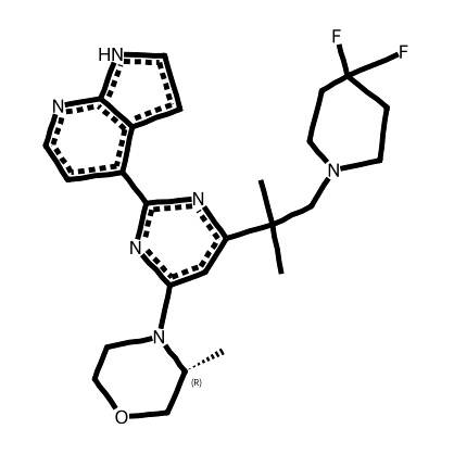 C[C@@H]1COCCN1c1cc(C(C)(C)CN2CCC(F)(F)CC2)nc(-c2ccnc3[nH]ccc23)n1